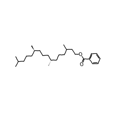 CC(C)CCC[C@@H](C)CCC[C@@H](C)CCCC(C)CCOC(=O)c1ccccc1